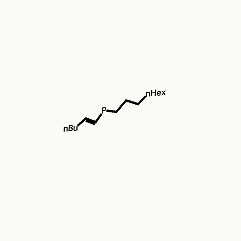 CCCCC=C[P]CCCCCCCCC